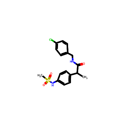 CC(C(=O)NCc1ccc(Cl)cc1)c1ccc(NS(C)(=O)=O)cc1